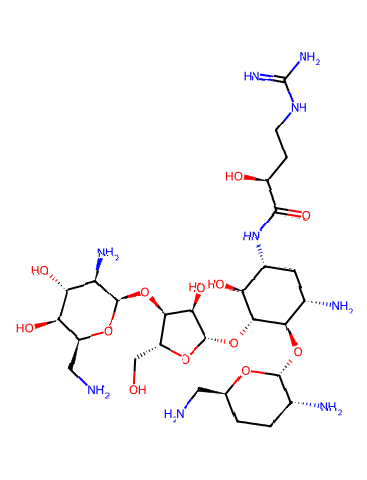 N=C(N)NCC[C@H](O)C(=O)N[C@@H]1C[C@H](N)[C@@H](O[C@H]2O[C@H](CN)CC[C@H]2N)[C@H](O[C@@H]2O[C@H](CO)[C@@H](O[C@H]3O[C@@H](CN)[C@@H](O)[C@H](O)[C@H]3N)[C@H]2O)[C@H]1O